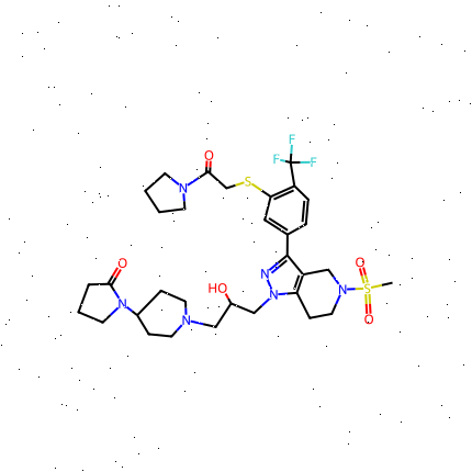 CS(=O)(=O)N1CCc2c(c(-c3ccc(C(F)(F)F)c(SCC(=O)N4CCCC4)c3)nn2CC(O)CN2CCC(N3CCCC3=O)CC2)C1